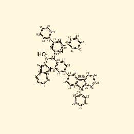 OC1c2nc3ccccc3n2-c2cc(-c3ccc4c(c3)c3ccccc3n4-c3ccccc3)ccc2N1c1nc(-c2ccccc2)nc(-c2ccccc2)n1